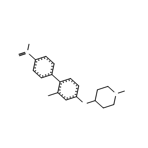 CN1CCC(Oc2ccc(-c3ccc([N+](=O)[O-])cc3)c(Cl)c2)CC1